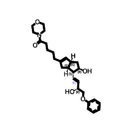 O=C(CCCCC1=C[C@H]2C[C@@H](O)[C@H](/C=C/[C@@H](O)COc3ccccc3)[C@H]2C1)N1CCOCC1